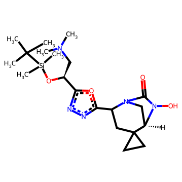 CN(C)C[C@H](O[Si](C)(C)C(C)(C)C)c1nnc(C2CC3(CC3)[C@H]3CN2C(=O)N3O)o1